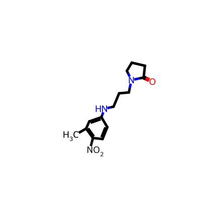 Cc1cc(NCCCN2CCCC2=O)ccc1[N+](=O)[O-]